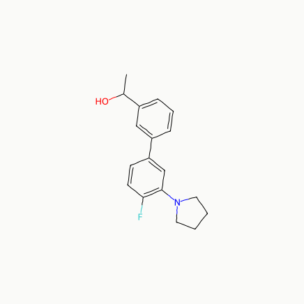 CC(O)c1cccc(-c2ccc(F)c(N3CCCC3)c2)c1